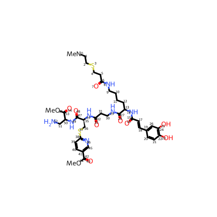 CNCCSCCC(=O)NCCCCC(NC(=O)/C=C/c1ccc(O)c(O)c1)C(=O)NCCC(=O)N[C@@H](CSc1ccc(C(=O)OC)cn1)C(=O)NC(CN)C(=O)OC